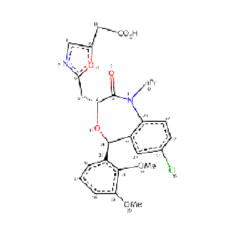 CCCN1C(=O)[C@@H](Cc2ncc(CC(=O)O)o2)O[C@H](c2cccc(OC)c2OC)c2cc(Cl)ccc21